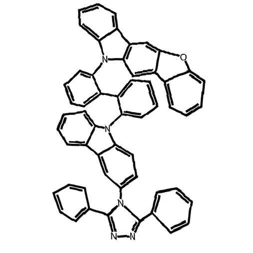 c1ccc(-c2nnc(-c3ccccc3)n2-c2ccc3c(c2)c2ccccc2n3-c2ccccc2-c2ccccc2-n2c3ccccc3c3cc4oc5ccccc5c4cc32)cc1